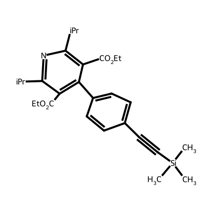 CCOC(=O)c1c(C(C)C)nc(C(C)C)c(C(=O)OCC)c1-c1ccc(C#C[Si](C)(C)C)cc1